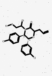 C=CCC1O[C@H](c2cccc(Cl)c2)[C@@H](c2ccc(Cl)cc2)N(C(CC)CSCC)C1=O